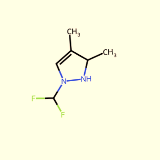 CC1=CN(C(F)F)NC1C